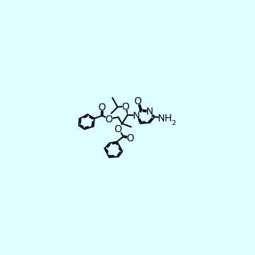 CC(C)O[C@@H](n1ccc(N)nc1=O)C(C)(COC(=O)c1ccccc1)OC(=O)c1ccccc1